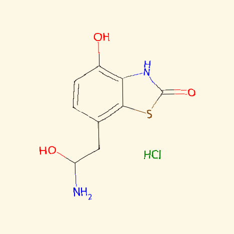 Cl.NC(O)Cc1ccc(O)c2[nH]c(=O)sc12